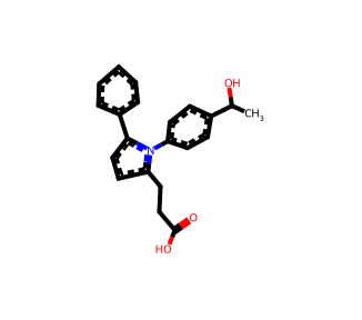 CC(O)c1ccc(-n2c(CCC(=O)O)ccc2-c2ccccc2)cc1